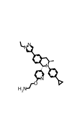 CCn1cc(-c2ccc3c(c2)C[C@@H](C)N(c2ccc(C4CC4)cc2)[C@@H]3c2ccc(OCCN)nc2)cn1